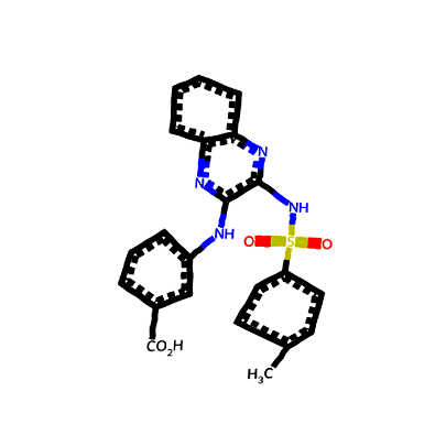 Cc1ccc(S(=O)(=O)Nc2nc3ccccc3nc2Nc2cccc(C(=O)O)c2)cc1